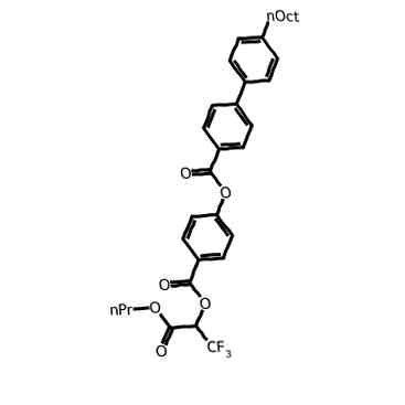 CCCCCCCCc1ccc(-c2ccc(C(=O)Oc3ccc(C(=O)OC(C(=O)OCCC)C(F)(F)F)cc3)cc2)cc1